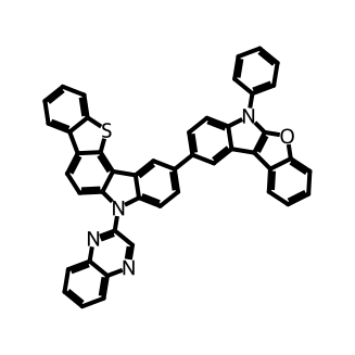 c1ccc(-n2c3ccc(-c4ccc5c(c4)c4c6sc7ccccc7c6ccc4n5-c4cnc5ccccc5n4)cc3c3c4ccccc4oc32)cc1